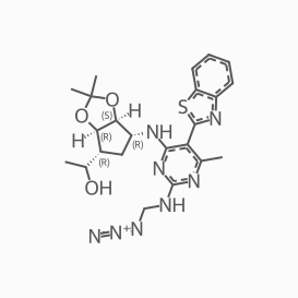 Cc1nc(NCN=[N+]=[N-])nc(N[C@@H]2C[C@H](C(C)O)[C@H]3OC(C)(C)O[C@H]32)c1-c1nc2ccccc2s1